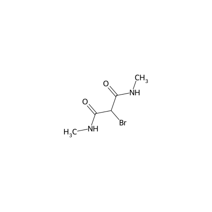 CNC(=O)C(Br)C(=O)NC